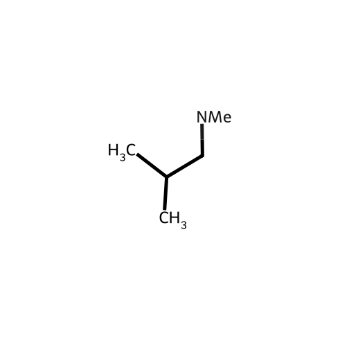 [CH]NCC(C)C